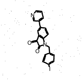 O=C1C(=O)N(Cc2ccc(I)cc2)c2ccc(-c3cccnc3)cc21